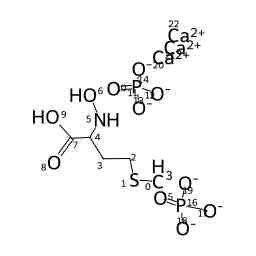 CSCCC(NO)C(=O)O.O=P([O-])([O-])[O-].O=P([O-])([O-])[O-].[Ca+2].[Ca+2].[Ca+2]